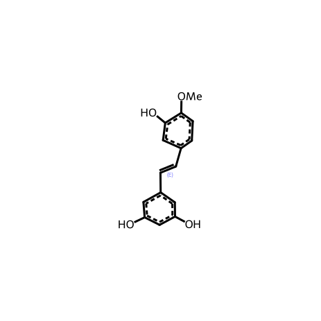 COc1ccc(/C=C/c2cc(O)cc(O)c2)cc1O